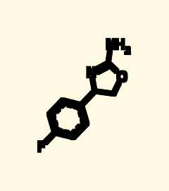 NC1=NC(c2ccc(F)cc2)CO1